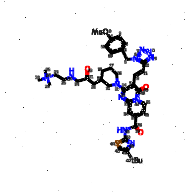 COc1ccc(Cn2nnnc2C=Cc2c(N3CCCC(CC(=O)CNCC[N+](C)(C)C)C3)nc3cc(C(=O)Nc4nc(C(C)(C)C)cs4)ccn3c2=O)cc1